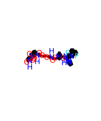 C#Cc1c(F)ccc2cccc(-c3ncc4c(N5CC6CCC(C5)N6)nc(OC[C@@]56CC[C@@H](COC(=O)NCCOCCOCC(=O)Nc7cccc8c7C(=O)N(C7CCC(=O)NC7=O)C8=O)N5CC(=C)C6)nc4c3F)c12